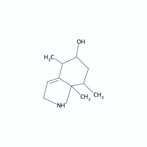 CC1C2=CCNCC2(C)C(C)CC1O